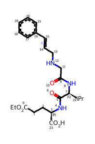 CCOC(=O)CC[C@@H](NC(=O)[C@@H](NC(=O)CNC/C=C/c1ccccc1)C(C)C)C(=O)O